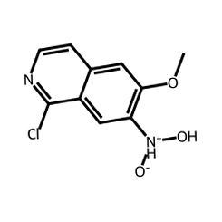 COc1cc2ccnc(Cl)c2cc1[NH+]([O-])O